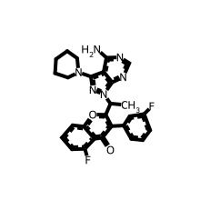 CC(c1oc2cccc(F)c2c(=O)c1-c1cccc(F)c1)n1nc(N2CCCCC2)c2c(N)ncnc21